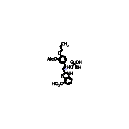 C=CCOc1ccc(/C=C/c2nc3c(C(=O)O)cccc3[nH]2)cc1OC.O=P(O)(O)O